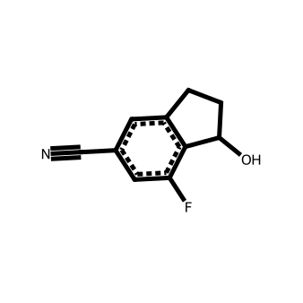 N#Cc1cc(F)c2c(c1)CCC2O